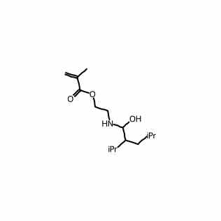 C=C(C)C(=O)OCCNC(O)C(CC(C)C)C(C)C